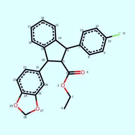 CCOC(=O)C1C(c2ccc(F)cc2)c2ccccc2C1c1ccc2c(c1)OCO2